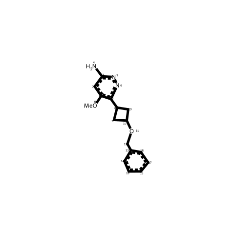 COc1cc(N)nnc1C1CC(OCc2ccccc2)C1